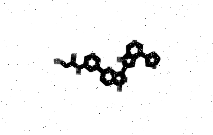 CC(C)(C)CC(=O)Nc1cncc(-c2ccc3[nH]nc(-c4cc5c(-c6ccsc6)cncc5[nH]4)c3n2)c1